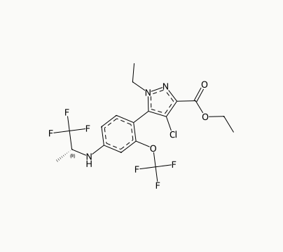 CCOC(=O)c1nn(CC)c(-c2ccc(N[C@H](C)C(F)(F)F)cc2OC(F)(F)F)c1Cl